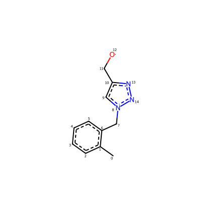 Cc1ccccc1Cn1cc(C[O])nn1